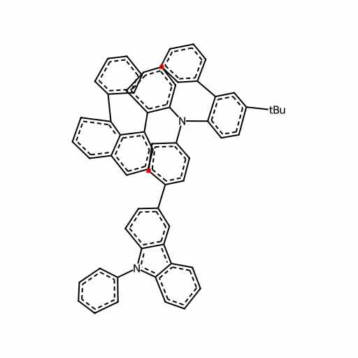 CC(C)(C)c1ccc(N(c2ccc(-c3ccc4c(c3)c3ccccc3n4-c3ccccc3)cc2)c2ccccc2-c2cccc3cccc(-c4ccccc4)c23)c(-c2ccccc2)c1